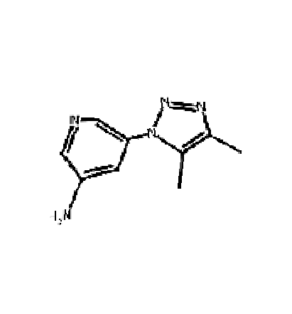 Cc1nnn(-c2cncc(N)c2)c1C